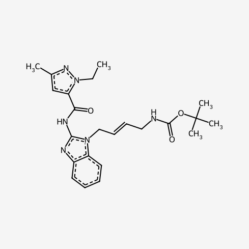 CCn1nc(C)cc1C(=O)Nc1nc2ccccc2n1C/C=C/CNC(=O)OC(C)(C)C